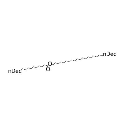 CCCCCCCCCCCCCCCCCCCCCCCCCCCCCOC(=O)CCCCCCCCCCCCCCCCCCC